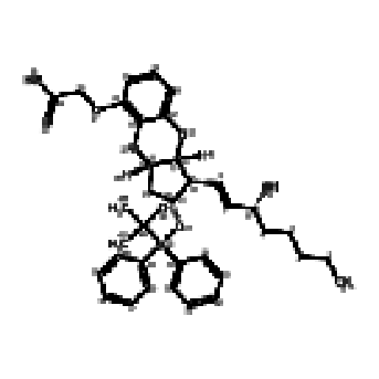 CCCCC[C@@H](O)C=C[C@@H]1[C@H]2Oc3cccc(OCC(=O)O)c3O[C@H]2C[C@H]1O[Si](c1ccccc1)(c1ccccc1)C(C)(C)C